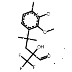 COc1c(C(C)(C)CC(O)(C=O)C(F)(F)F)ccc(C)c1Cl